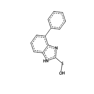 OSc1nc2c(-c3ccccc3)cccc2[nH]1